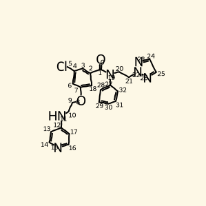 O=C(c1cc(Cl)cc(OCCNc2ccncc2)c1)N(CCn1nccn1)c1ccccc1